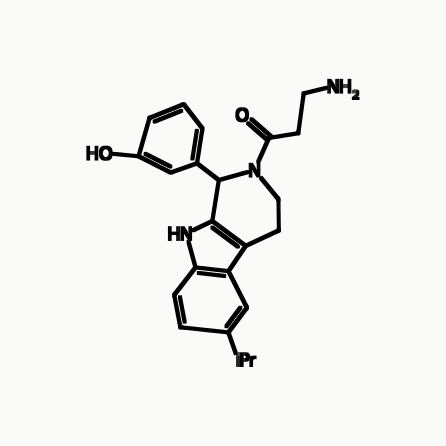 CC(C)c1ccc2[nH]c3c(c2c1)CCN(C(=O)CCN)C3c1cccc(O)c1